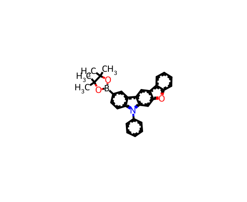 CC1(C)OB(c2ccc3c(c2)c2cc4c(cc2n3-c2ccccc2)oc2ccccc24)OC1(C)C